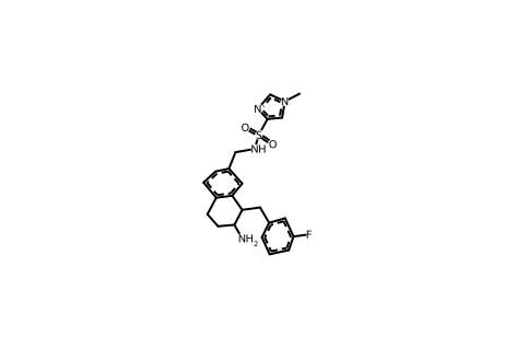 Cn1cnc(S(=O)(=O)NCc2ccc3c(c2)C(Cc2cccc(F)c2)C(N)CC3)c1